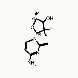 C=C1N=C(N)C=CN1[C@@H]1O[C@H](C(C)C)C(O)C1(F)F